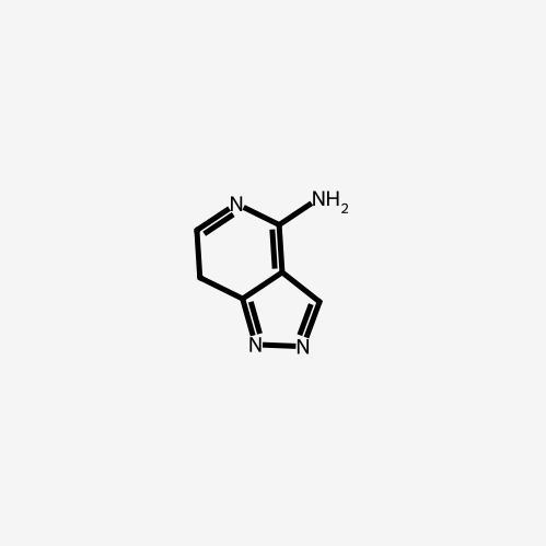 NC1=C2C=NN=C2CC=N1